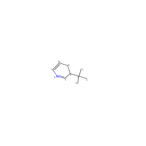 CC(C)(C)C1C=NC=CC1